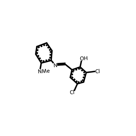 CNc1ccccc1/N=C/c1cc(Cl)cc(Cl)c1O